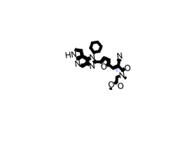 COC(=O)CN(C)C(=O)/C(C#N)=C/c1ccc(-c2nc3cnc4[nH]ccc4c3n2C2CCCCC2)o1